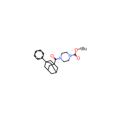 CC(C)(C)OC(=O)N1CCN(C(=O)C23CC4CC(C2)CC(c2ccccc2)(C4)C3)CC1